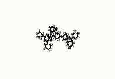 c1ccc(-c2nc(-c3ccccc3)nc(-n3c4ccc(-c5ccc6c(c5)c5ccccc5n6-c5ccccc5)cc4c4ncccc43)n2)cc1